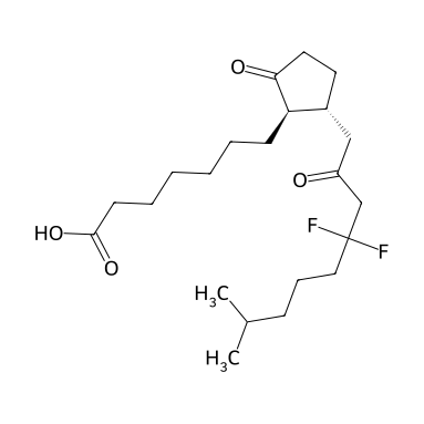 CC(C)CCCC(F)(F)CC(=O)C[C@H]1CCC(=O)[C@@H]1CCCCCCC(=O)O